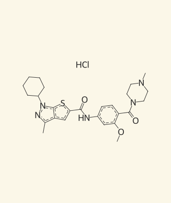 COc1cc(NC(=O)c2cc3c(C)nn(C4CCCCC4)c3s2)ccc1C(=O)N1CCN(C)CC1.Cl